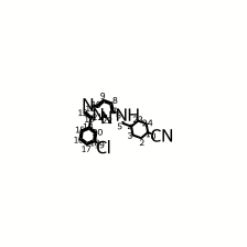 N#CC1CCC(CNc2ccc3ncc(-c4cccc(Cl)c4)n3n2)CC1